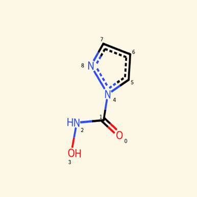 O=C(NO)n1cccn1